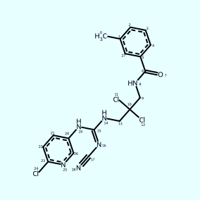 Cc1cccc(C(=O)NCC(Cl)(Cl)CNC(=NC#N)Nc2ccc(Cl)nc2)c1